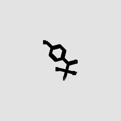 O=C(c1ccc(Br)cc1)C(F)(Br)Br